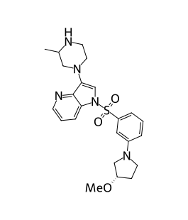 CO[C@H]1CCN(c2cccc(S(=O)(=O)n3cc(N4CCNC(C)C4)c4ncccc43)c2)C1